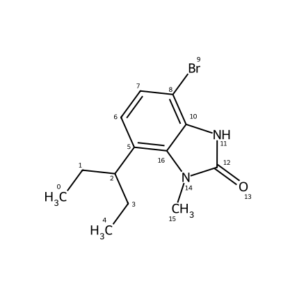 CCC(CC)c1ccc(Br)c2[nH]c(=O)n(C)c12